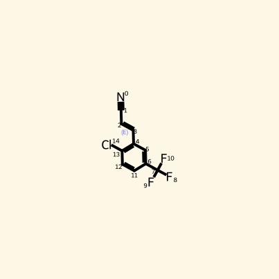 N#C/C=C/c1cc(C(F)(F)F)ccc1Cl